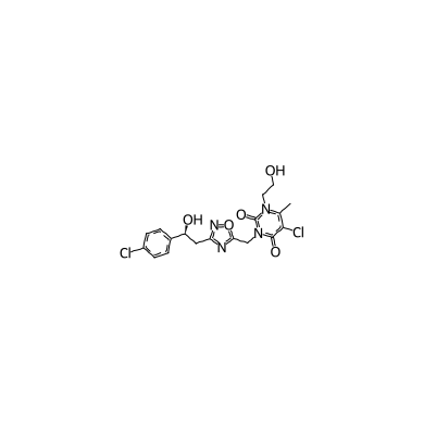 Cc1c(Cl)c(=O)n(Cc2nc(C[C@H](O)c3ccc(Cl)cc3)no2)c(=O)n1CCO